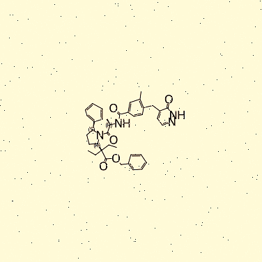 CCC(CC)(C(=O)OCc1ccccc1)[C@H]1CC[C@@H](c2ccccc2)N1C(=O)[C@@H](C)NC(=O)c1ccc(Cc2ccn[nH]c2=O)c(C)c1